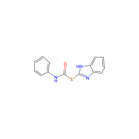 O=C(Nc1ccccc1)Sc1nc2ccccc2[nH]1